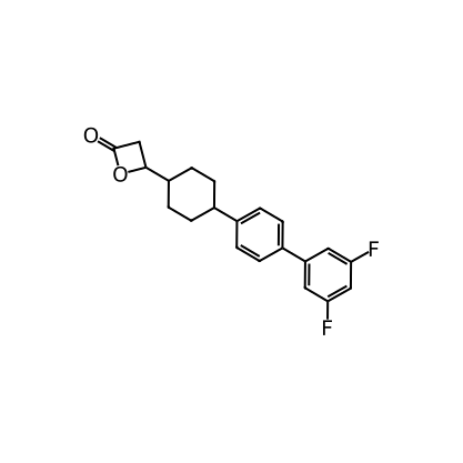 O=C1CC(C2CCC(c3ccc(-c4cc(F)cc(F)c4)cc3)CC2)O1